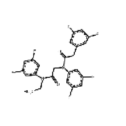 O=C(O)CN(C(=O)CN(C(=O)Cc1cc(F)cc(F)c1)c1cc(F)cc(F)c1)c1cc(F)cc(F)c1